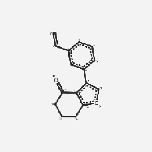 C=Cc1cccc(-c2coc3c2C(=O)CCC3)c1